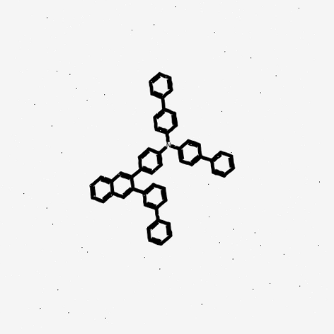 c1ccc(-c2ccc(N(c3ccc(-c4ccccc4)cc3)c3ccc(-c4cc5ccccc5cc4-c4cccc(-c5ccccc5)c4)cc3)cc2)cc1